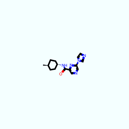 C[C@H]1CC[C@H](NC(=O)c2cncc(-n3ccnc3)n2)CC1